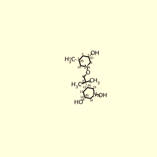 C[C@@H]1C[C@H](O)CN(OCC(C)(C)[C@H]2C[C@@H](O)CN(O)C2)C1